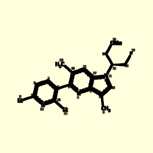 CCc1ccc(-c2nc3c(C)cn([C@H](CF)COC)c3cc2C)c(CC)n1